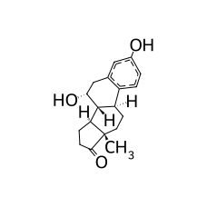 C[C@]12CC[C@@H]3c4ccc(O)cc4C[C@@H](O)[C@H]3[C@@H]1CCC2=O